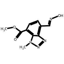 COC(=O)c1ccc(/C=N/O)c2nnn(C)c12